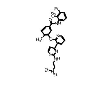 CCN(CC)CCNc1nccc(-c2cccnc2Oc2cc(C(=O)Nc3cccc(C(C)C)c3C)ccc2C)n1